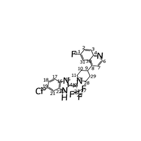 Fc1ccc2nccc(C3CCN([C@@H](c4nc5ccc(Cl)cc5[nH]4)C(F)(F)F)CC3)c2c1